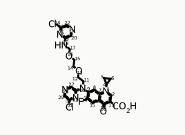 O=C(O)c1cn(C2CC2)c2cc(N(CCOCCOCNc3cncc(Cl)n3)c3cncc(Cl)n3)c(F)cc2c1=O